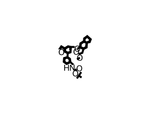 COC(=O)Cc1cc2ccccc2cc1OCc1cc(-c2cccc(CNC(=O)OC(C)(C)C)c2)c2occc2c1